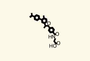 C=C(C)c1ccc(-c2cc3c(cc2C)OC(c2ccc(C(=O)NCCC(=O)O)cc2)C3C)cc1